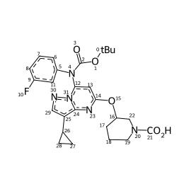 CC(C)(C)OC(=O)N(c1cccc(F)c1)c1cc(OC2CCCN(C(=O)O)C2)nc2c(C3CC3)cnn12